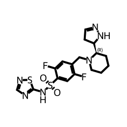 O=S(=O)(Nc1ncns1)c1cc(F)c(CN2CCCC[C@@H]2C2CC=NN2)cc1F